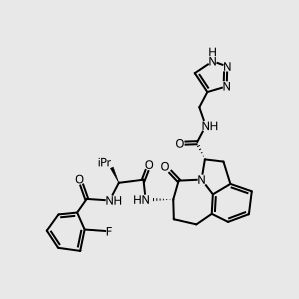 CC(C)[C@H](NC(=O)c1ccccc1F)C(=O)N[C@H]1CCc2cccc3c2N(C1=O)[C@H](C(=O)NCc1c[nH]nn1)C3